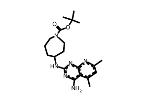 Cc1cc(C)c2c(N)nc(NC3CCCN(C(=O)OC(C)(C)C)CC3)nc2n1